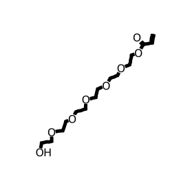 C=CC(=O)OCCOCCOCCOCCOCCOCCO